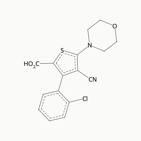 N#Cc1c(N2CCOCC2)sc(C(=O)O)c1-c1ccccc1Cl